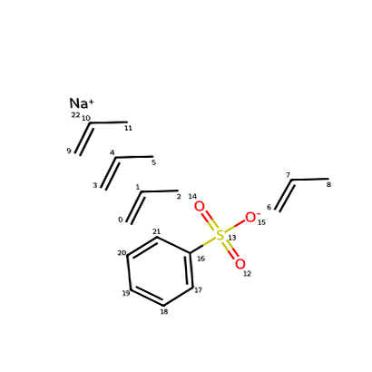 C=CC.C=CC.C=CC.C=CC.O=S(=O)([O-])c1ccccc1.[Na+]